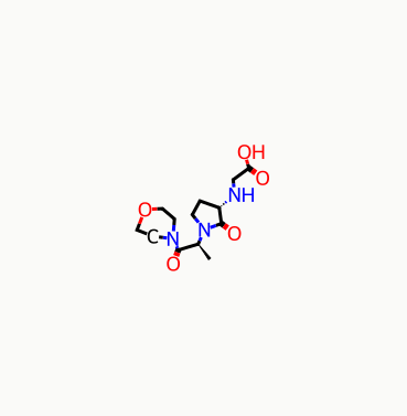 C[C@@H](C(=O)N1CCOCC1)N1CC[C@H](NCC(=O)O)C1=O